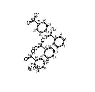 O=C([O-])c1ccccc1.O=C([O-])c1ccccc1.O=C([O-])c1ccccc1.O=C([O-])c1ccccc1.[Mo+4]